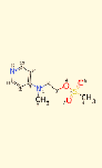 CN(CCOS(C)(=O)=O)c1ccncc1